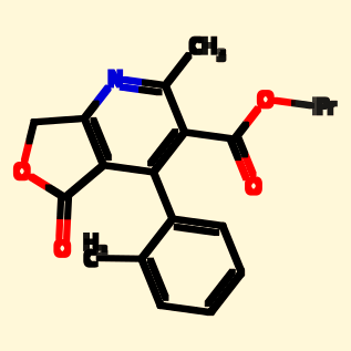 Cc1ccccc1-c1c(C(=O)OC(C)C)c(C)nc2c1C(=O)OC2